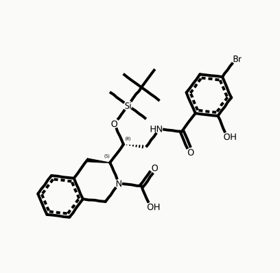 CC(C)(C)[Si](C)(C)O[C@H](CNC(=O)c1ccc(Br)cc1O)[C@@H]1Cc2ccccc2CN1C(=O)O